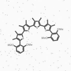 COc1cccc(OC)c1-c1sc(-c2sc(-c3sc(-c4sc(-c5c(OC)cccc5OC)c(C)c4C)c(C)c3C)c(C)c2C)c(C)c1C